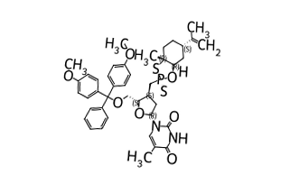 C=C(C)[C@H]1CC[C@@]2(C)SP(=S)(C[C@H]3C[C@H](n4cc(C)c(=O)[nH]c4=O)O[C@@H]3COC(c3ccccc3)(c3ccc(OC)cc3)c3ccc(OC)cc3)O[C@@H]2C1